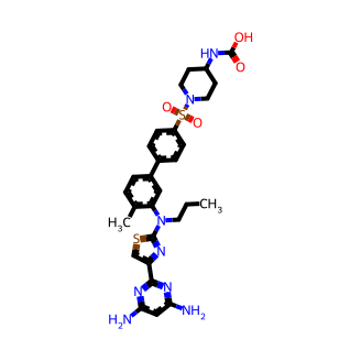 CCCN(c1nc(-c2nc(N)cc(N)n2)cs1)c1cc(-c2ccc(S(=O)(=O)N3CCC(NC(=O)O)CC3)cc2)ccc1C